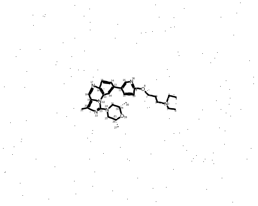 CCN(CC)CCCOc1ccc(-c2ccc3ncc4c(C)nc(N5C[C@@H](C)O[C@@H](C)C5)n4c3c2)cn1